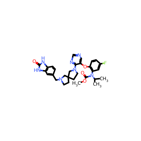 COC(=O)N(c1cc(F)ccc1Oc1cncnc1N1CCC2(CCN(Cc3ccc4[nH]c(=O)[nH]c4c3)C2)C1)C(C)C